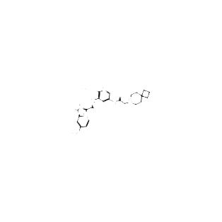 Cc1ncc(NC(=O)CN2CCC3(CCC3)CC2)cc1NC(=O)c1nnc2cc(Br)ccn12